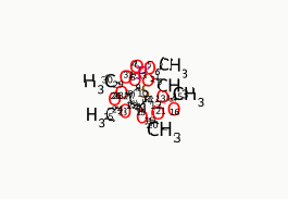 CCOP(=O)(OCC)OC1S[C@H](COC(C)=O)[C@@H](OC(C)=O)[C@H](OC(C)=O)[C@H]1OC(C)=O